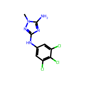 Cn1nc(Nc2cc(Cl)c(Cl)c(Cl)c2)nc1N